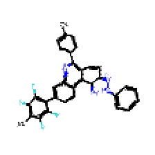 N#Cc1ccc(-c2nc3cc(-c4c(F)c(F)c(C#N)c(F)c4F)ccc3c3c2C=C/C(=N/Nc2ccccc2)C3=N)cc1